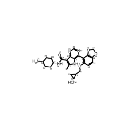 Cc1[nH]c2c(-c3c(OCC4CC4)ccc4c3OCO4)ncnc2c1C(=O)N[C@H]1CC[C@H](N)CC1.Cl